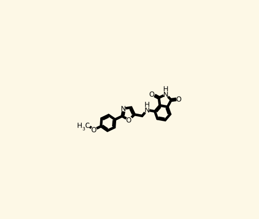 COc1ccc(-c2ncc(CNc3cccc4c3C(=O)NC4=O)o2)cc1